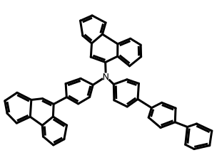 c1ccc(-c2ccc(-c3ccc(N(c4ccc(-c5cc6ccccc6c6ccccc56)cc4)c4cc5ccccc5c5ccccc45)cc3)cc2)cc1